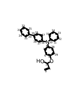 C=CC(O)Oc1ccc(N(c2ccccc2)c2ccc(-c3ccccc3)cc2)cc1